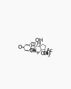 CC(=O)[C@@]1(O)CC[C@H]2[C@@H]3C(O)=CC4=CC(=O)C=C[C@]4(C)[C@H]3CC[C@@]21C